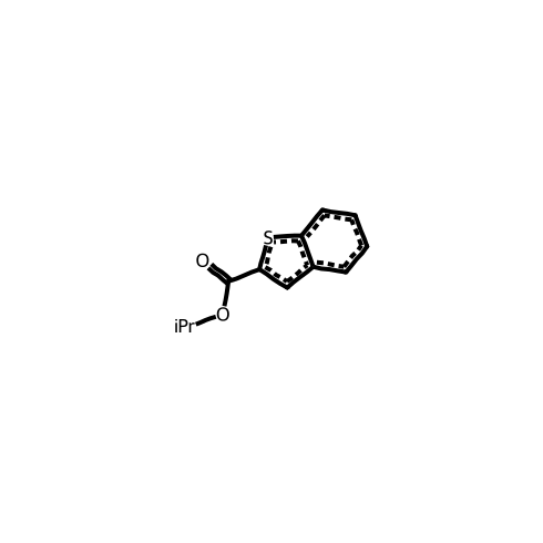 CC(C)OC(=O)c1cc2ccccc2s1